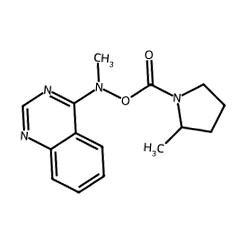 CC1CCCN1C(=O)ON(C)c1ncnc2ccccc12